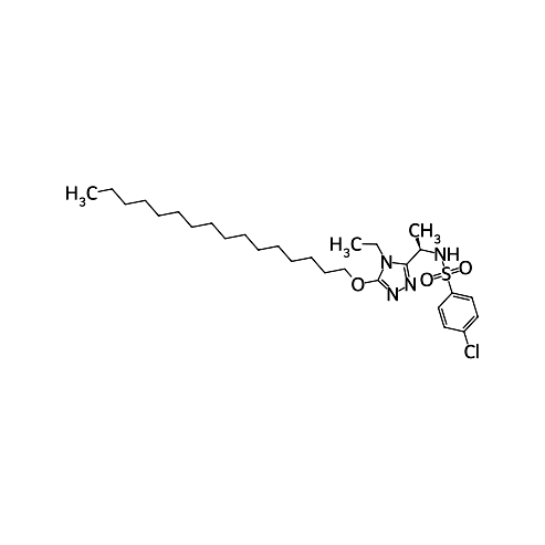 CCCCCCCCCCCCCCCCOc1nnc([C@@H](C)NS(=O)(=O)c2ccc(Cl)cc2)n1CC